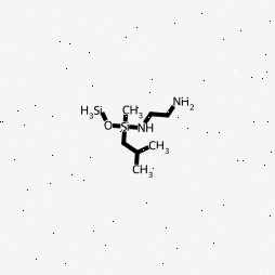 CC(C)C[Si](C)(NCCN)O[SiH3]